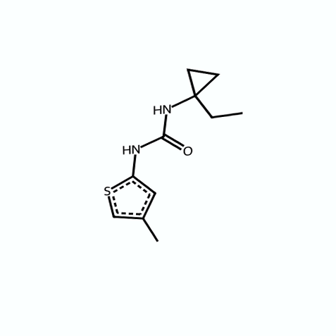 CCC1(NC(=O)Nc2cc(C)cs2)CC1